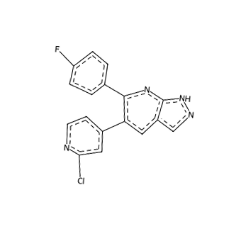 Fc1ccc(-c2nc3[nH]ncc3cc2-c2ccnc(Cl)c2)cc1